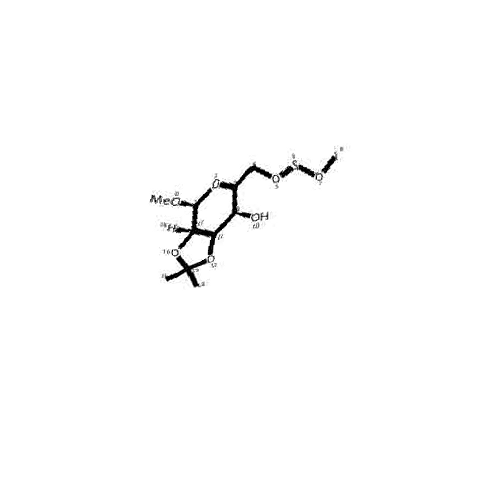 CO[C@H]1OC(COSOI)[C@@H](O)C2OC(C)(C)O[C@@H]21